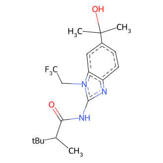 CC(C(=O)Nc1nc2ccc(C(C)(C)O)cc2n1CC(F)(F)F)C(C)(C)C